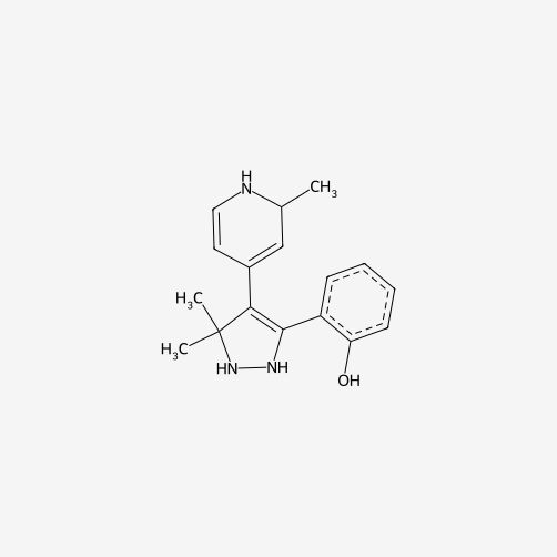 CC1C=C(C2=C(c3ccccc3O)NNC2(C)C)C=CN1